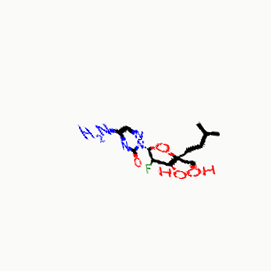 CC(C)CC[C@]1(CO)O[C@@H](n2ncc(N)nc2=O)[C@H](F)[C@@H]1O